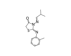 Cc1ccccc1/N=C1\SCC(=O)N1/N=C/C(C)C